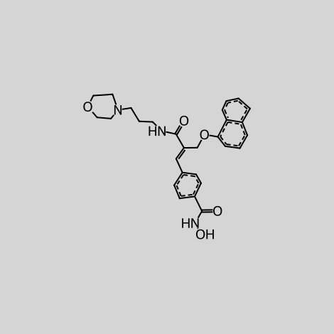 O=C(NCCCN1CCOCC1)/C(=C/c1ccc(C(=O)NO)cc1)COc1cccc2ccccc12